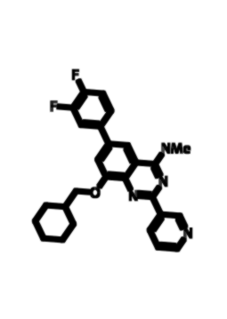 CNc1nc(-c2cccnc2)nc2c(OCC3CCCCC3)cc(-c3ccc(F)c(F)c3)cc12